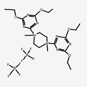 CCOc1nc(OCC)nc([N+]2(C)CC[N+](C)(c3nc(OCC)nc(OCC)n3)CC2)n1.F[B-](F)(F)F.F[B-](F)(F)F